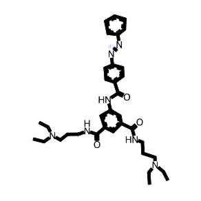 CCN(CC)CCCNC(=O)c1cc(NC(=O)c2ccc(/N=N/c3ccccc3)cc2)cc(C(=O)NCCCN(CC)CC)c1